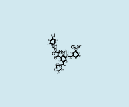 Cn1nc(C(=O)NCc2ccc(Cl)cc2)c(=O)c2cc(CN3CCOCC3)cc(NCc3cccc([N+](=O)[O-])c3)c21